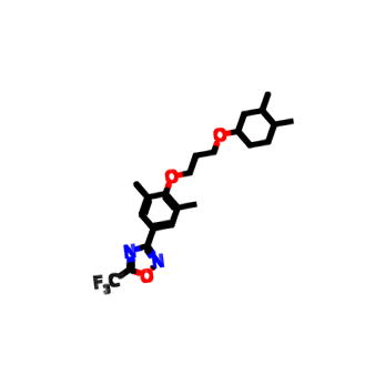 Cc1cc(-c2noc(C(F)(F)F)n2)cc(C)c1OCCCOC1CCC(C)C(C)C1